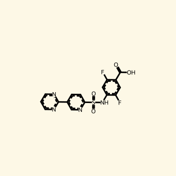 O=C(O)c1cc(F)c(NS(=O)(=O)c2ccc(-c3ncccn3)cn2)cc1F